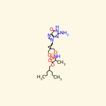 CCCC(CCC)COC(=O)C(C)N[P]1(O)OCC2(CO1)CC2=Cn1cnc2c(=O)[nH]c(N)nc21